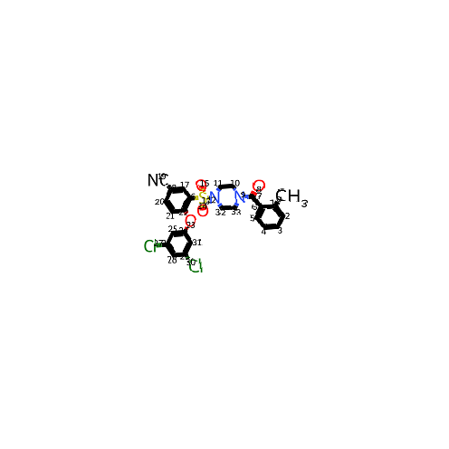 Cc1ccccc1C(=O)N1CCN(S(=O)(=O)c2cc(C#N)ccc2Oc2cc(Cl)cc(Cl)c2)CC1